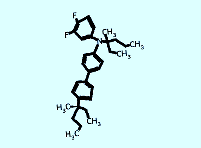 CCCC(C)(CC)N(c1ccc(-c2ccc([C@](C)(CC)CCC)cc2)cc1)c1ccc(F)c(F)c1